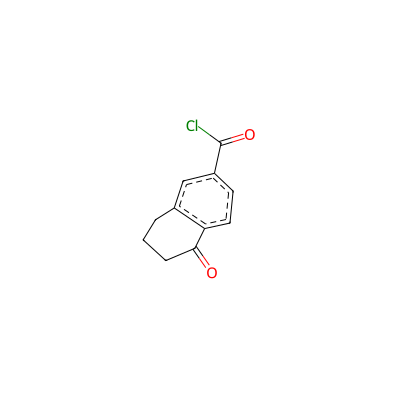 O=C(Cl)c1ccc2c(c1)CCCC2=O